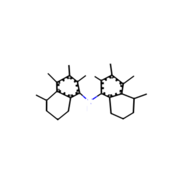 Cc1c(C)c(Nc2c(C)c(C)c(C)c3c2CCCC3C)c2c(c1C)C(C)CCC2